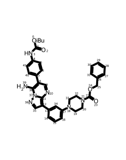 CC(C)COC(=O)Nc1ccc(-c2cnc3c(-c4cccc(N5CCN(C(=O)OCc6ccccc6)CC5)c4)cnn3c2N)cc1